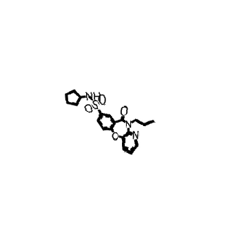 CCCN1C(=O)c2cc(S(=O)(=O)NC3CCCC3)ccc2Oc2cccnc21